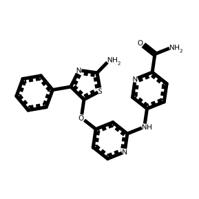 NC(=O)c1ccc(Nc2cc(Oc3sc(N)nc3-c3ccccc3)ccn2)cn1